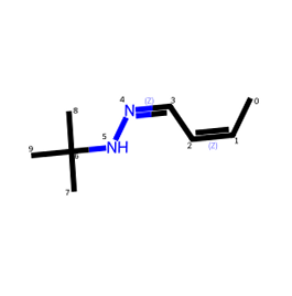 C/C=C\C=N/NC(C)(C)C